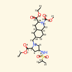 CCOC(=O)C1CC(NS(=O)(=O)C(C)C)CN1CC1CCC2CN(C(=O)OC)C(C(=O)OCC)CC2C1